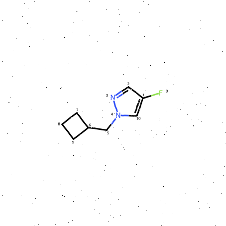 Fc1[c]nn(CC2CCC2)c1